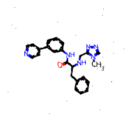 Cn1cnnc1CNC(Cc1ccccc1)C(=O)Nc1cccc(-c2ccncc2)c1